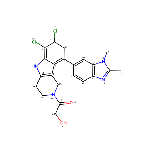 Cc1nc2ccc(C3=c4c5c([nH]c4=C(Cl)C(Cl)C3)CCN(C(=O)CO)C5)cc2n1C